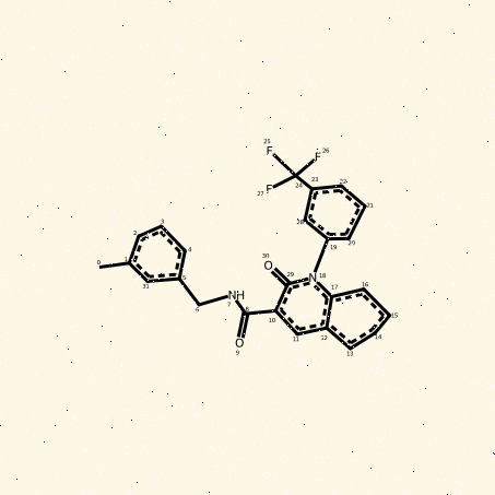 Cc1cccc(CNC(=O)c2cc3ccccc3n(-c3cccc(C(F)(F)F)c3)c2=O)c1